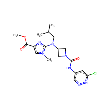 COC(=O)c1cn(C)c(N(CC(C)C)C2CN(C(=O)Nc3cnnc(Cl)c3)C2)n1